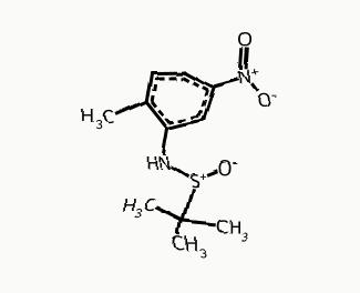 Cc1ccc([N+](=O)[O-])cc1N[S+]([O-])C(C)(C)C